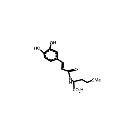 CSCCC(NC(=O)C=Cc1ccc(O)c(O)c1)C(=O)O